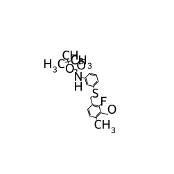 Cc1ccc(CSc2cccc(NC(=O)OC(C)(C)C)c2)c(F)c1C=O